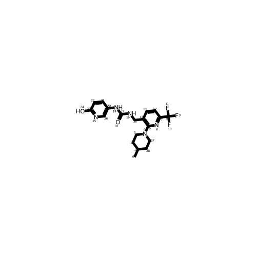 CC1CCN(c2nc(C(F)(F)F)ccc2CNC(=O)Nc2ccc(O)nc2)CC1